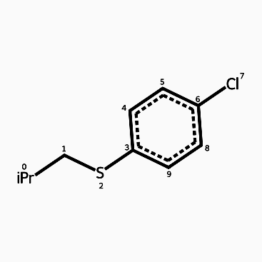 CC(C)CSc1ccc(Cl)cc1